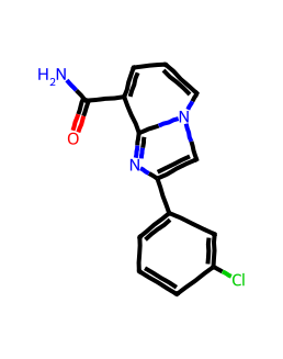 NC(=O)c1cccn2cc(-c3cccc(Cl)c3)nc12